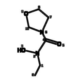 CCN(O)C(=O)N1CCOC1